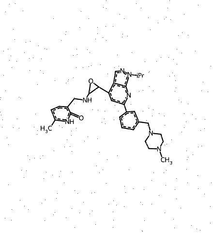 Cc1ccc(CNC2OC2c2cc(-c3cccc(CN4CCN(C)CC4)c3)nc3c2cnn3C(C)C)c(=O)[nH]1